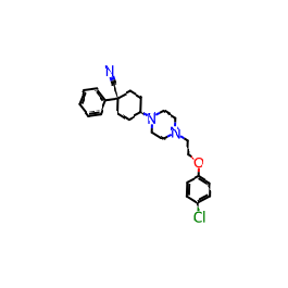 N#C[C@]1(c2ccccc2)CC[C@H](N2CCN(CCOc3ccc(Cl)cc3)CC2)CC1